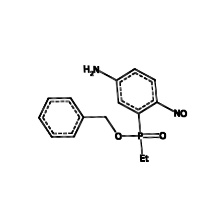 CCP(=O)(OCc1ccccc1)c1cc(N)ccc1N=O